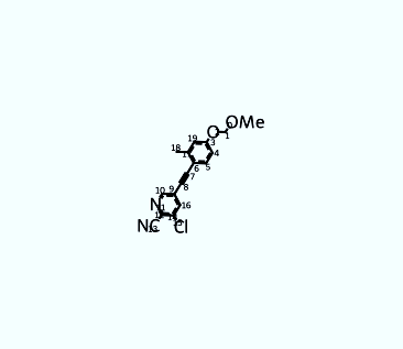 COCOc1ccc(C#Cc2cnc(C#N)c(Cl)c2)c(C)c1